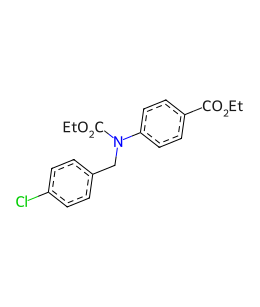 CCOC(=O)c1ccc(N(Cc2ccc(Cl)cc2)C(=O)OCC)cc1